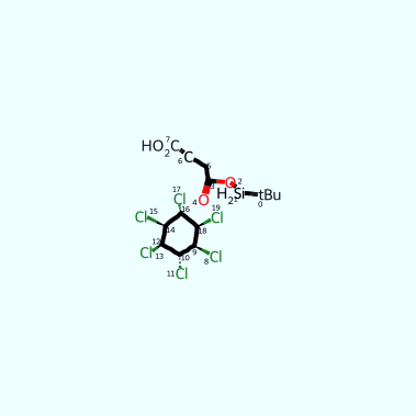 CC(C)(C)[SiH2]OC(=O)CCC(=O)O.Cl[C@H]1[C@H](Cl)[C@@H](Cl)[C@@H](Cl)[C@H](Cl)[C@H]1Cl